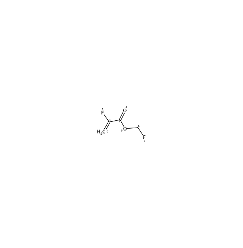 C=C(F)C(=O)OCF